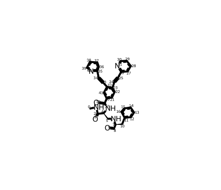 CNC(=O)[C@H](CN[C@H](C=O)Cc1ccccc1)NC(=O)c1ccc(C#Cc2ccccn2)c(C#Cc2ccccn2)c1